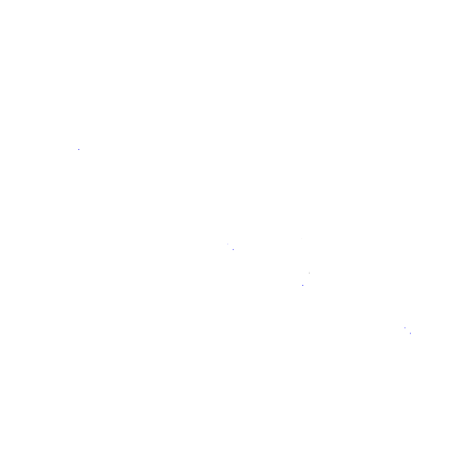 CN1CCC(N2CCN(C(=O)CC3CCN(I)CC3)CC2)CC1